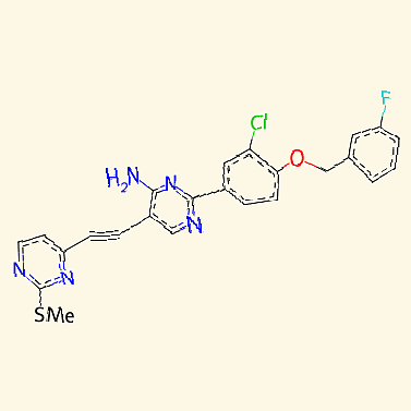 CSc1nccc(C#Cc2cnc(-c3ccc(OCc4cccc(F)c4)c(Cl)c3)nc2N)n1